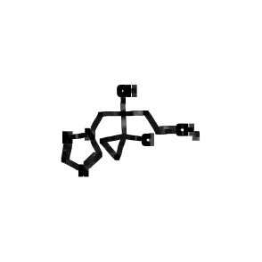 C=CCC(O)(Cn1cncn1)C1(Cl)CC1